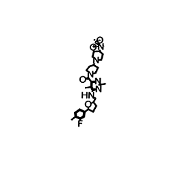 Cc1nc(NCC2CCC(c3ccc(C)c(F)c3)O2)c(C)c(C(=O)N2CCC(N3CCC(N(C)S(C)(=O)=O)CC3)CC2)n1